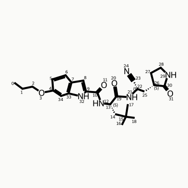 CCCOc1ccc2cc(C(=O)N[C@@H](CC(C)(C)C)C(=O)N[C@H](C#N)C[C@@H]3CCNC3=O)[nH]c2c1